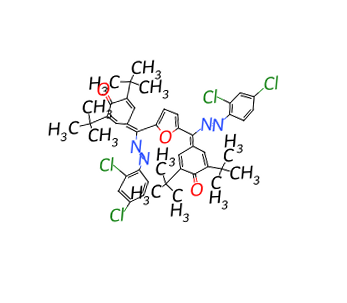 CC(C)(C)C1=CC(=C(/N=N/c2ccc(Cl)cc2Cl)c2ccc(C(/N=N/c3ccc(Cl)cc3Cl)=C3C=C(C(C)(C)C)C(=O)C(C(C)(C)C)=C3)o2)C=C(C(C)(C)C)C1=O